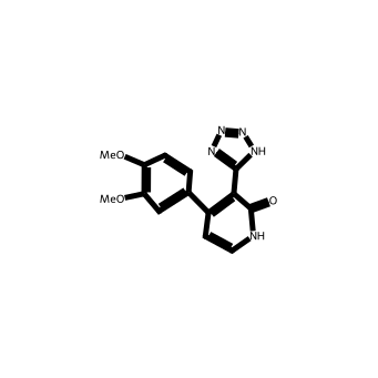 COc1ccc(-c2cc[nH]c(=O)c2-c2nnn[nH]2)cc1OC